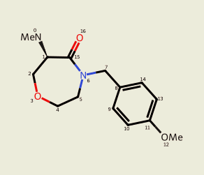 CN[C@@H]1COCCN(Cc2ccc(OC)cc2)C1=O